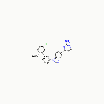 COc1ccc(Cl)cc1-c1cccc(-n2cnc3cc(-c4ccnc(N)n4)ccc32)c1